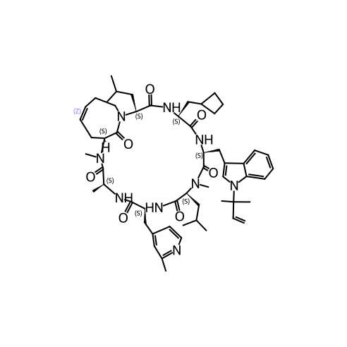 C=CC(C)(C)n1cc(C[C@@H]2NC(=O)[C@H](CC3CCC3)NC(=O)[C@H](CC(C)C)N3CC/C=C\C[C@@H](C3=O)N(C)C(=O)[C@H](C)NC(=O)[C@H](Cc3ccnc(C)c3)NC(=O)[C@H](CC(C)C)N(C)C2=O)c2ccccc21